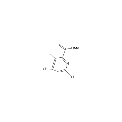 COC(=O)c1nc(Cl)cc(Cl)c1C